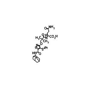 CC(C)Sc1c(OCC(C)(C)C(=O)NC(CCC(N)=O)C(=O)O)noc1C(=O)NC1C2CC3CC(C2)CC1C3